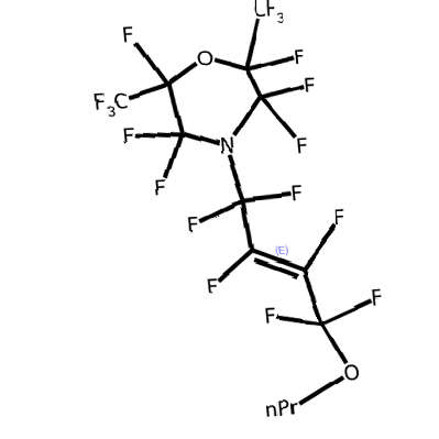 CCCOC(F)(F)/C(F)=C(\F)C(F)(F)N1C(F)(F)C(F)(C(F)(F)F)OC(F)(C(F)(F)F)C1(F)F